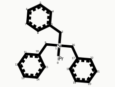 CC(C)[Si](Cc1ccccc1)(Cc1ccccc1)Cc1ccccc1